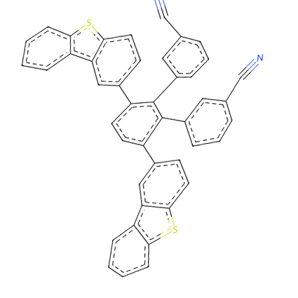 N#Cc1cccc(-c2c(-c3ccc4sc5ccccc5c4c3)ccc(-c3ccc4sc5ccccc5c4c3)c2-c2cccc(C#N)c2)c1